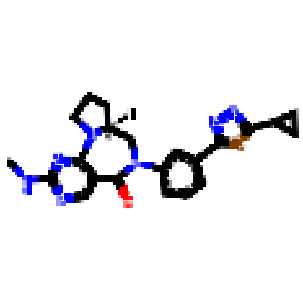 CNc1ncc2c(n1)N1CCC[C@H]1CN(c1cccc(-c3nnc(C4CC4)s3)c1)C2=O